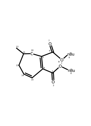 CCCCOC(=O)C1=C(C(=O)OCCCC)CC(C)CC=C1